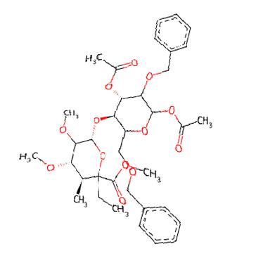 CCC1(C(=O)OC)O[C@@H](O[C@@H]2C(COCc3ccccc3)OC(OC(C)=O)C(OCc3ccccc3)[C@H]2OC(C)=O)C(OC)[C@@H](OC)[C@@H]1C